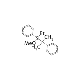 CC[Si](OC)(c1ccccc1)C(C)(C)c1ccccc1